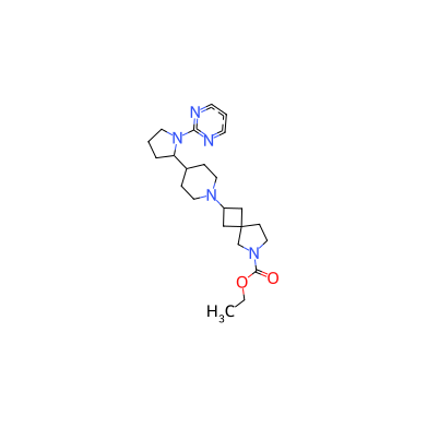 CCOC(=O)N1CCC2(CC(N3CCC(C4CCCN4c4ncccn4)CC3)C2)C1